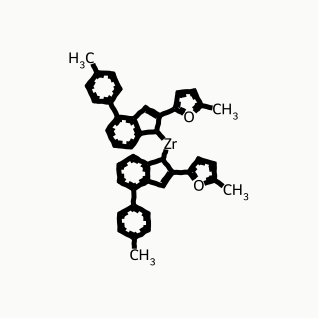 Cc1ccc(-c2cccc3c2C=C(c2ccc(C)o2)[CH]3[Zr][CH]2C(c3ccc(C)o3)=Cc3c(-c4ccc(C)cc4)cccc32)cc1